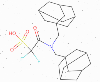 O=C(N(CC12CC3CC(CC(C3)C1)C2)CC12CC3CC(CC(C3)C1)C2)C(F)(F)S(=O)(=O)O